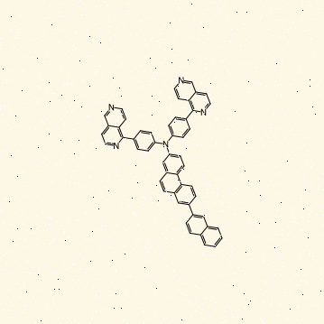 c1ccc2cc(-c3ccc4c(ccc5cc(N(c6ccc(-c7nccc8cnccc78)cc6)c6ccc(-c7nccc8cnccc78)cc6)ccc54)c3)ccc2c1